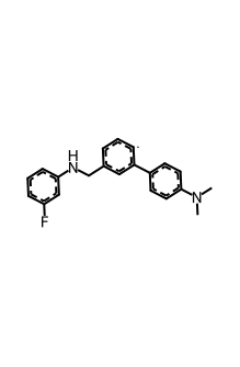 CN(C)c1ccc(-c2[c]ccc(CNc3cccc(F)c3)c2)cc1